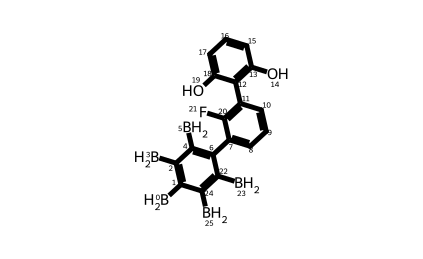 Bc1c(B)c(B)c(-c2cccc(-c3c(O)cccc3O)c2F)c(B)c1B